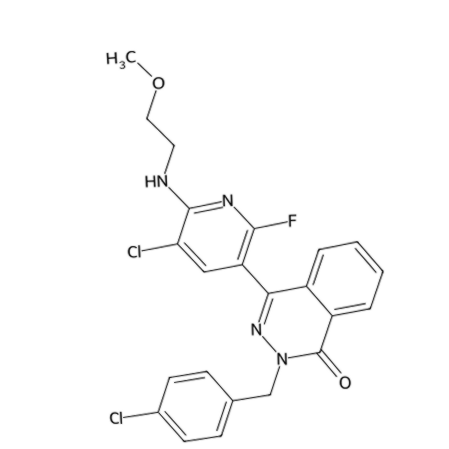 COCCNc1nc(F)c(-c2nn(Cc3ccc(Cl)cc3)c(=O)c3ccccc23)cc1Cl